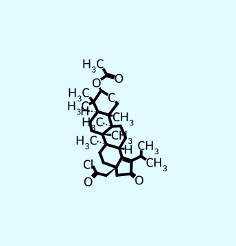 CC(=O)O[C@H]1CC[C@@]2(C)[C@@H](CC[C@]3(C)[C@]2(C)CC[C@@H]2C4=C(C(C)C)C(=O)C[C@]4(CC(=O)Cl)CC[C@]23C)C1(C)C